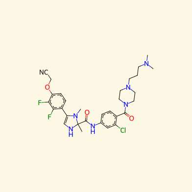 CN(C)CCCN1CCN(C(=O)c2ccc(NC(=O)C3(C)NC=C(c4ccc(OCC#N)c(F)c4F)N3C)cc2Cl)CC1